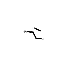 CC(C)C.CCCCCCl